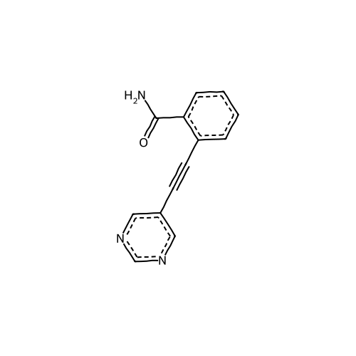 NC(=O)c1ccccc1C#Cc1cncnc1